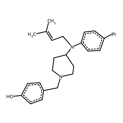 CC(C)=CCN(c1ccc(C(C)C)cc1)C1CCN(Cc2ccc(O)cc2)CC1